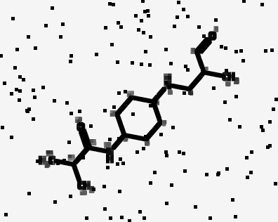 CC(C=O)CNC1CCC(NC(=O)C(C)C)CC1